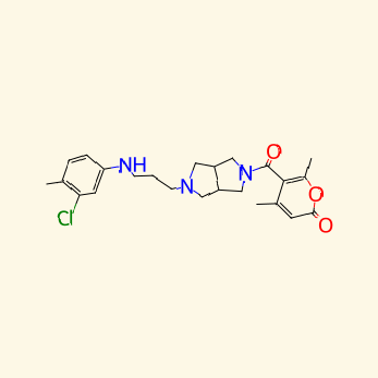 Cc1ccc(NCCCN2CC3CN(C(=O)c4c(C)cc(=O)oc4C)CC3C2)cc1Cl